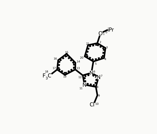 CC(C)Oc1ccc(-n2nc(CCl)nc2-c2cccc(C(F)(F)F)c2)cc1